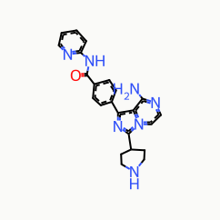 Nc1nccn2c(C3CCNCC3)nc(-c3ccc(C(=O)Nc4ccccn4)cc3)c12